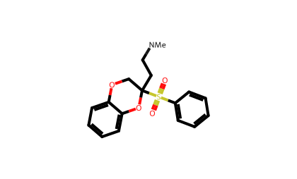 CNCCC1(S(=O)(=O)c2ccccc2)COc2ccccc2O1